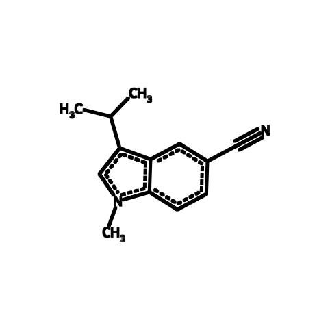 CC(C)c1cn(C)c2ccc(C#N)cc12